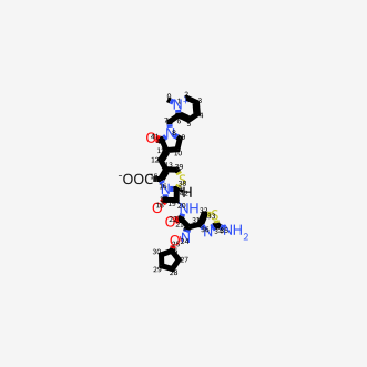 C[n+]1ccccc1CN1CC/C(=C\C2=C(C(=O)[O-])N3C(=O)[C@@H](NC(=O)/C(=N\OC4CCCC4)c4csc(N)n4)[C@H]3SC2)C1=O